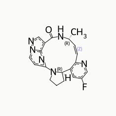 C[C@@H]1/C=C\c2ncc(F)cc2[C@H]2CCCN2c2ccn3ncc(c3n2)C(=O)N1